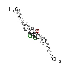 CCCCCCCCC[C@H]1CC[C@H](C2CCC3(CC2)C(=O)C2(CCC([C@H]4CC[C@H](CCCCCCCCC)CC4)CC2)C3(Cl)Cl)CC1